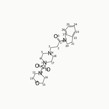 O=C(CCN1CCN(S(=O)(=O)N2CCOCC2)CC1)N1CCc2ccccc21